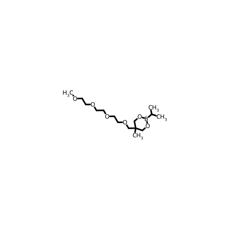 COCCOCCOCCOCC1(C)COB(C(C)C)OC1